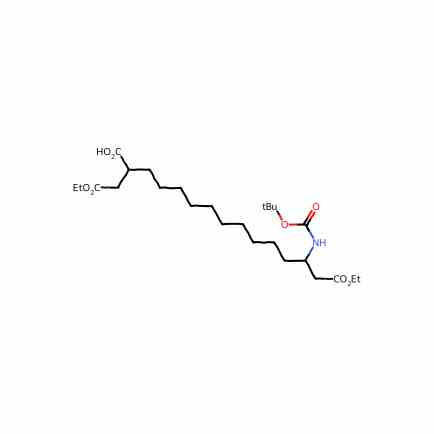 CCOC(=O)CC(CCCCCCCCCCC(CC(=O)OCC)C(=O)O)NC(=O)OC(C)(C)C